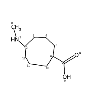 CNC1CCCC(C(=O)O)CCC1